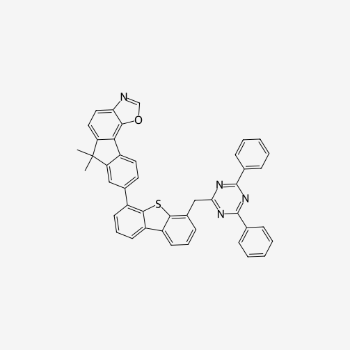 CC1(C)c2cc(-c3cccc4c3sc3c(Cc5nc(-c6ccccc6)nc(-c6ccccc6)n5)cccc34)ccc2-c2c1ccc1ncoc21